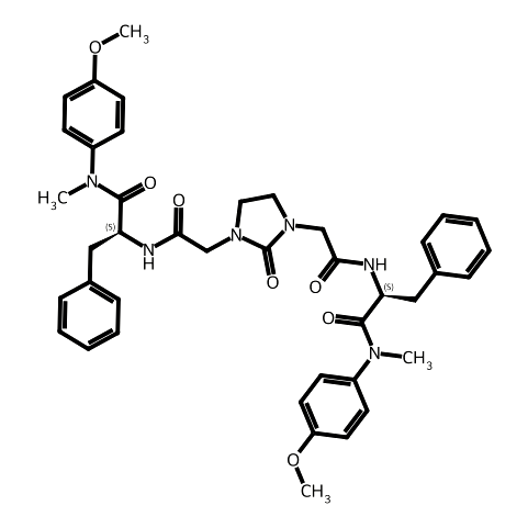 COc1ccc(N(C)C(=O)[C@H](Cc2ccccc2)NC(=O)CN2CCN(CC(=O)N[C@@H](Cc3ccccc3)C(=O)N(C)c3ccc(OC)cc3)C2=O)cc1